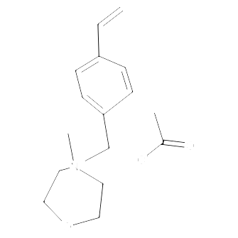 C=Cc1ccc(C[N+]2(C)CCOCC2)cc1.CC(=O)[O-]